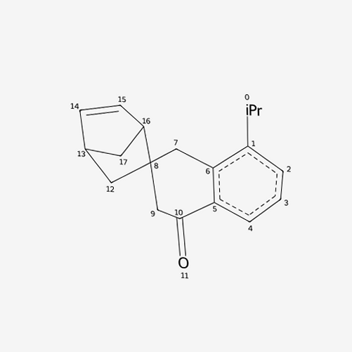 CC(C)c1cccc2c1CC1(CC2=O)CC2C=CC1C2